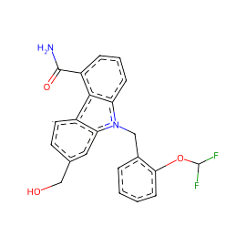 NC(=O)c1cccc2c1c1[c]cc(CO)cc1n2Cc1ccccc1OC(F)F